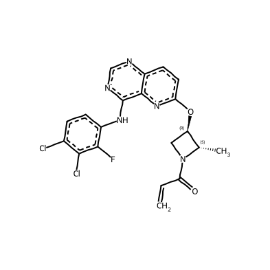 C=CC(=O)N1C[C@@H](Oc2ccc3ncnc(Nc4ccc(Cl)c(Cl)c4F)c3n2)[C@@H]1C